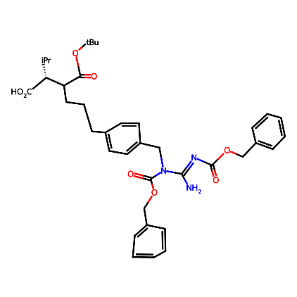 CC(C)[C@@H](C(=O)O)C(CCCc1ccc(CN(C(=O)OCc2ccccc2)C(N)=NC(=O)OCc2ccccc2)cc1)C(=O)OC(C)(C)C